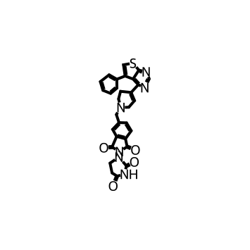 O=C1CCN(N2C(=O)c3ccc(CN4CC=C(c5ncnc6scc(-c7ccccc7)c56)CC4)cc3C2=O)C(=O)N1